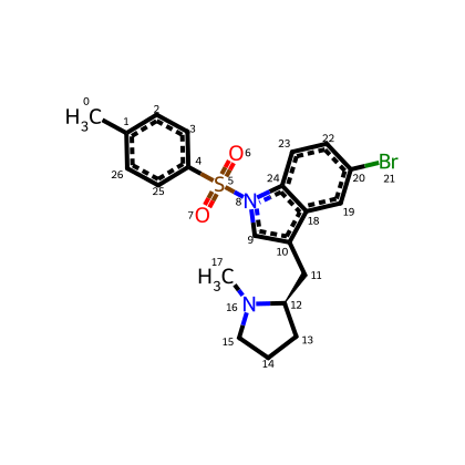 Cc1ccc(S(=O)(=O)n2cc(C[C@H]3CCCN3C)c3cc(Br)ccc32)cc1